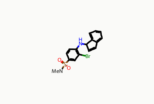 CNS(=O)(=O)c1ccc(NC2C=Cc3ccccc32)c(Br)c1